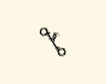 CN1CCN(CC(O)CN(CCCCCCOC(=O)OC2CCCCCCCCCCCCCCC2)CCCCCCOC(=O)C2CCCCCCCCCCCCCCC2)CC1